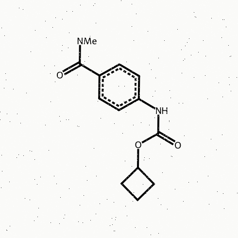 CNC(=O)c1ccc(NC(=O)OC2CCC2)cc1